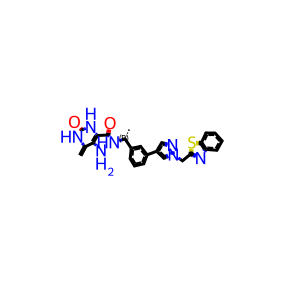 C=C1NC(=O)NC(C(=O)N[C@H](C)c2cccc(-c3cnn(Cc4nc5ccccc5s4)c3)c2)=C1N